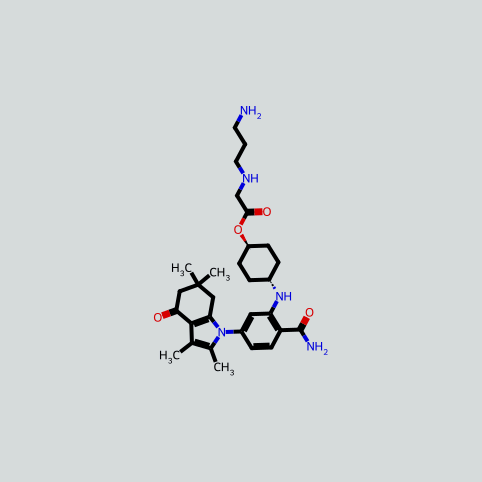 Cc1c2c(n(-c3ccc(C(N)=O)c(N[C@H]4CC[C@H](OC(=O)CNCCCN)CC4)c3)c1C)CC(C)(C)CC2=O